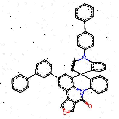 O=c1c2cocc2c2cc(-c3cccc(-c4ccccc4)c3)cc3c2n1-c1ccccc1C31c2ccccc2N(c2ccc(-c3ccccc3)cc2)c2ccccc21